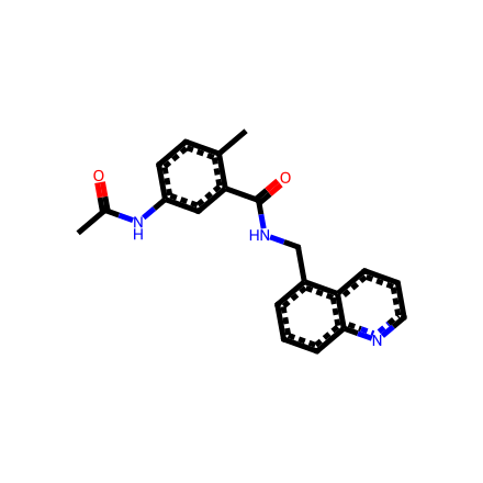 CC(=O)Nc1ccc(C)c(C(=O)NCc2cccc3ncccc23)c1